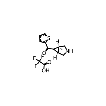 O=C(O)C(F)(F)F.O=C(c1cccs1)C1[C@H]2CNC[C@@H]12